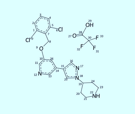 Clc1cccc(Cl)c1COc1cncc(-c2cnn(C3CCNCC3)c2)c1.O=C(O)C(F)(F)F